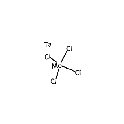 [Cl][Mo]([Cl])([Cl])[Cl].[Ta]